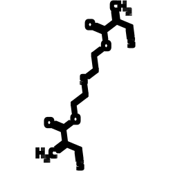 C=C(C=S)C(=O)OCCSCCOC(=O)C(=C)C=S